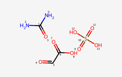 NC(N)=O.O=CC(=O)O.O=S(=O)(O)O